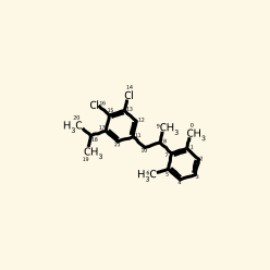 Cc1cccc(C)c1C(C)Cc1cc(Cl)c(Cl)c(C(C)C)c1